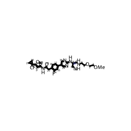 COCCOCCN/C=C(\C=N)Nc1ncc(-c2ccc(CC(=O)Nc3cc(C4(C(F)(F)F)CC4)on3)c(F)c2)cn1